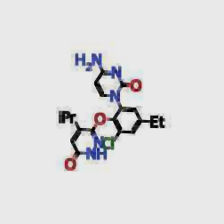 CCc1cc(Cl)c(Oc2n[nH]c(=O)cc2C(C)C)c(-n2ccc(N)nc2=O)c1